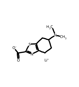 CN(C)C1CCc2nc(C(=O)[O-])sc2C1.[Li+]